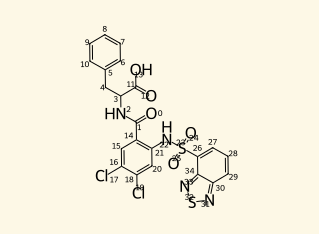 O=C(NC(Cc1ccccc1)C(=O)O)c1cc(Cl)c(Cl)cc1NS(=O)(=O)c1cccc2nsnc12